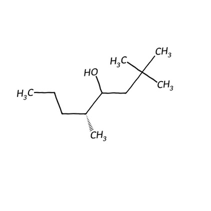 CCC[C@@H](C)C(O)CC(C)(C)C